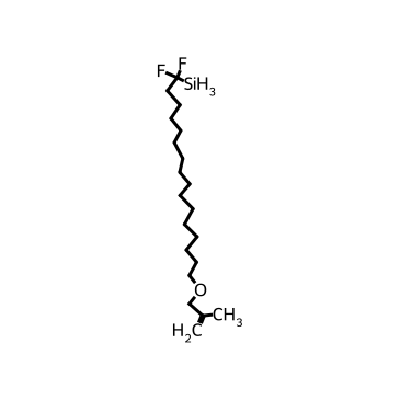 C=C(C)COCCCCCCCCCCCCCCCC(F)(F)[SiH3]